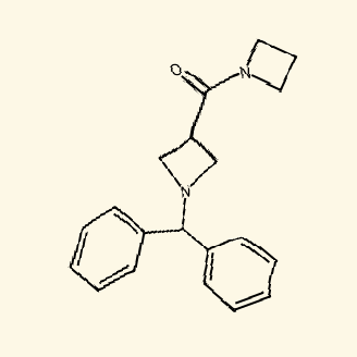 O=C(C1CN(C(c2ccccc2)c2ccccc2)C1)N1CCC1